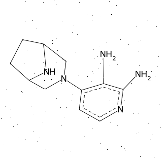 Nc1nccc(N2CC3CCC(C2)N3)c1N